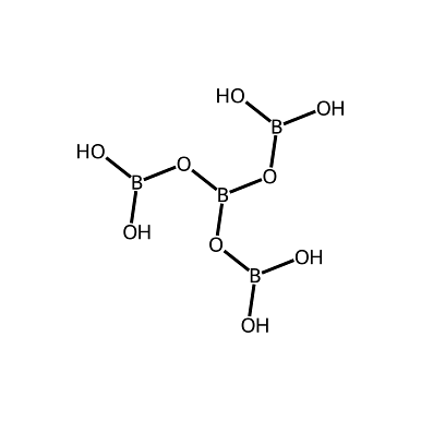 OB(O)OB(OB(O)O)OB(O)O